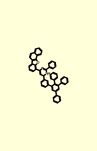 C1=C(c2cccc3c2oc2c4ccccc4ccc32)N=C(c2ccccc2)NC1c1cccc(-c2cc(-c3ccccc3)cc(-c3ccccc3)c2-c2ccccc2)c1